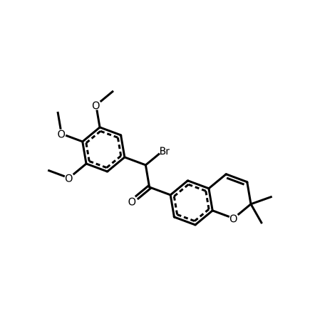 COc1cc(C(Br)C(=O)c2ccc3c(c2)C=CC(C)(C)O3)cc(OC)c1OC